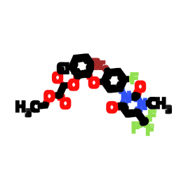 CCOC(=O)[C@H](OC)Oc1ccccc1Oc1cc(-n2c(=O)cc(C(F)(F)F)n(C)c2=O)c(F)cc1Br